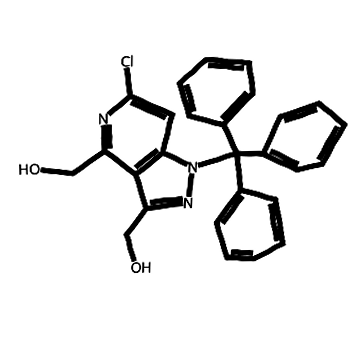 OCc1nc(Cl)cc2c1c(CO)nn2C(c1ccccc1)(c1ccccc1)c1ccccc1